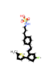 Cc1ccc(-c2ccc(F)cc2/C=C/c2ccc(CCCNS(=O)(=O)O)cc2)s1